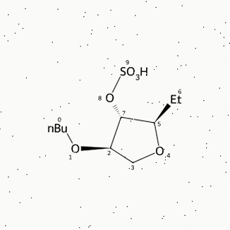 CCCCO[C@@H]1CO[C@H](CC)[C@H]1OS(=O)(=O)O